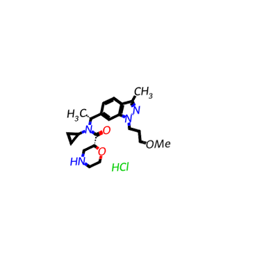 COCCCn1nc(C)c2ccc([C@@H](C)N(C(=O)[C@H]3CNCCO3)C3CC3)cc21.Cl